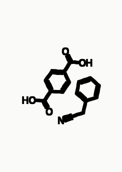 N#CCc1ccccc1.O=C(O)c1ccc(C(=O)O)cc1